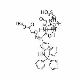 [2H]C([2H])([2H])C1(C([2H])([2H])[2H])[C@H](NC(=O)/C(=N\OCC(=O)OC(C)(C)C)c2csc(NC(c3ccccc3)(c3ccccc3)c3ccccc3)n2)C(=O)N1OS(=O)(=O)O